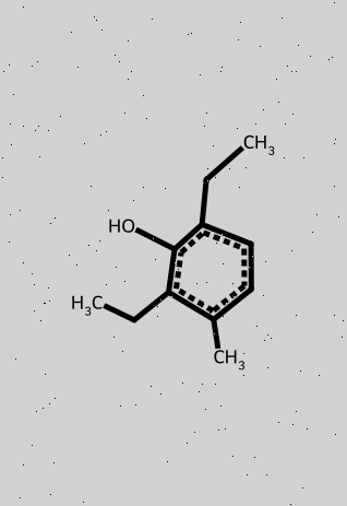 CCc1ccc(C)c(CC)c1O